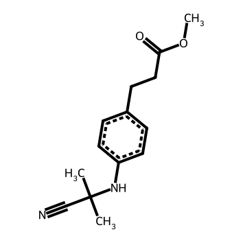 COC(=O)CCc1ccc(NC(C)(C)C#N)cc1